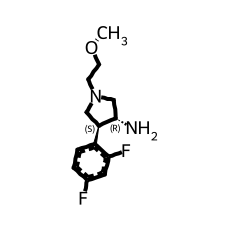 COCCN1C[C@H](c2ccc(F)cc2F)[C@@H](N)C1